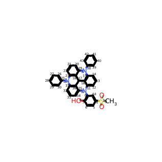 CS(=O)(=O)c1ccc(O)c(N2c3cccc4c3C3c5c(cccc5N(c5ccccc5)c5cccc2c53)N4c2ccccc2)c1